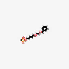 CS(=O)(=O)OCCCCCOCCOCc1ccccc1